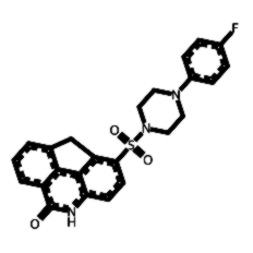 O=c1[nH]c2ccc(S(=O)(=O)N3CCN(c4ccc(F)cc4)CC3)c3c2c2c(cccc12)C3